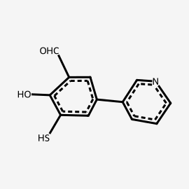 O=Cc1cc(-c2cccnc2)cc(S)c1O